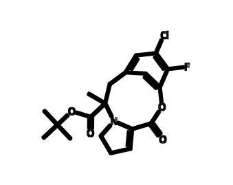 CC(C)(C)OC(=O)C1(C)Cc2cc(Cl)c(F)c(c2)OC(=O)C2=CCCN21